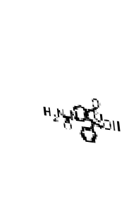 NC(=O)N1CCC2=C(C1)C(CO)(c1ccccc1)OC2=O